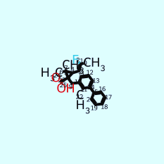 CC(F)=CC1C(C)(C)C1(Cc1cccc(-c2ccccc2)c1C)C(=O)O